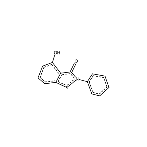 O=c1c2c(O)cccc2sn1-c1ccccc1